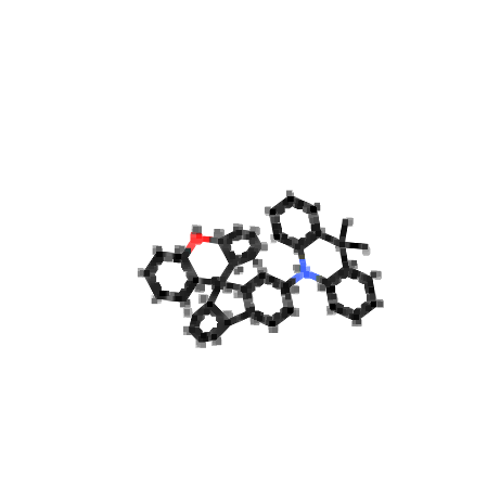 CC1(C)c2ccccc2N(c2ccc3c(c2)[Si]2(c4ccccc4Oc4ccccc42)c2ccccc2-3)c2ccccc21